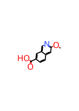 COc1cc2ccc(C(=O)O)cc2cn1